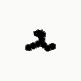 CC1(C)c2ccccc2Oc2c(-c3ccc(N(c4ccc(-c5ccc(-c6ccccc6)cc5)cc4)c4ccc(-c5cccc(-c6ccccc6)c5)cc4)cc3)cccc21